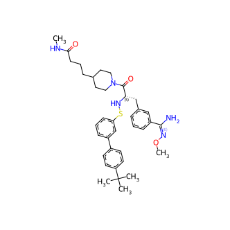 CNC(=O)CCCC1CCN(C(=O)[C@H](Cc2cccc(/C(N)=N\OC)c2)NSc2cccc(-c3ccc(C(C)(C)C)cc3)c2)CC1